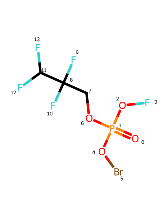 O=P(OF)(OBr)OCC(F)(F)C(F)F